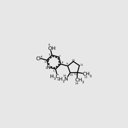 Cc1nc(Cl)c(O)cc1C1CCC(C)(C)C1N